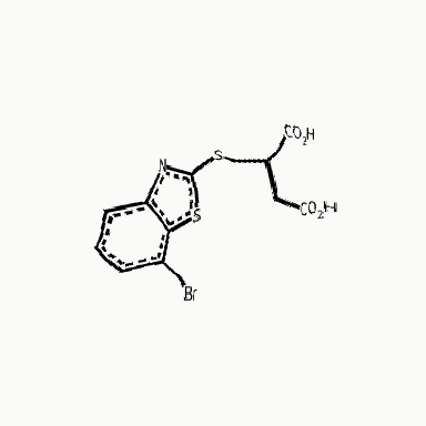 O=C(O)CC(Sc1nc2cccc(Br)c2s1)C(=O)O